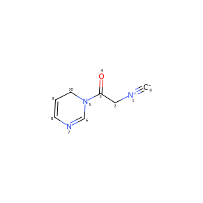 [C-]#[N+]CC(=O)N1C=NC=CC1